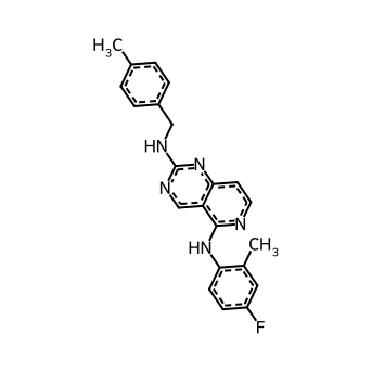 Cc1ccc(CNc2ncc3c(Nc4ccc(F)cc4C)nccc3n2)cc1